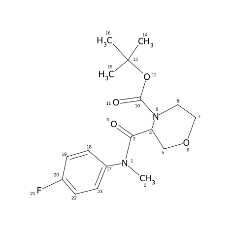 CN(C(=O)C1COCCN1C(=O)OC(C)(C)C)c1ccc(F)cc1